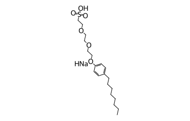 CCCCCCCCc1ccc(OCCOCCOCCS(=O)(=O)O)cc1.[NaH]